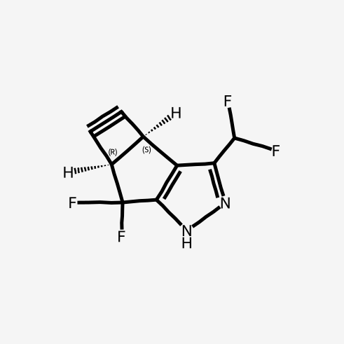 FC(F)c1n[nH]c2c1[C@@H]1C#C[C@@H]1C2(F)F